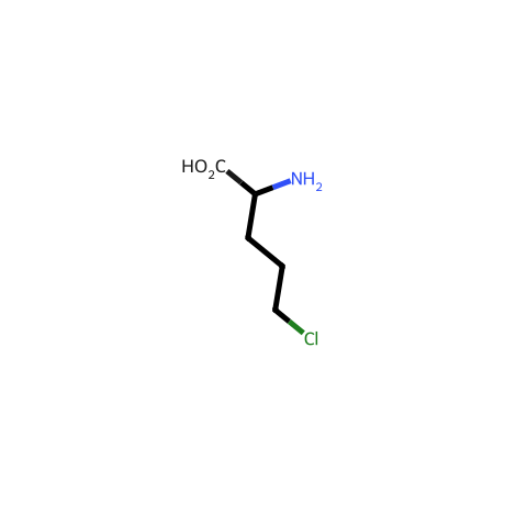 NC(CCCCl)C(=O)O